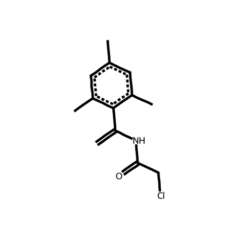 C=C(NC(=O)CCl)c1c(C)cc(C)cc1C